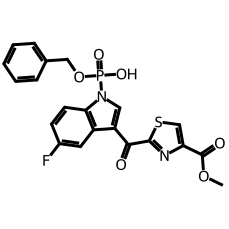 COC(=O)c1csc(C(=O)c2cn(P(=O)(O)OCc3ccccc3)c3ccc(F)cc23)n1